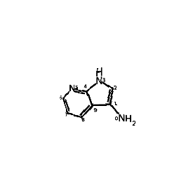 Nc1c[nH]c2ncccc12